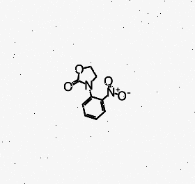 O=C1OCCN1c1ccccc1[N+](=O)[O-]